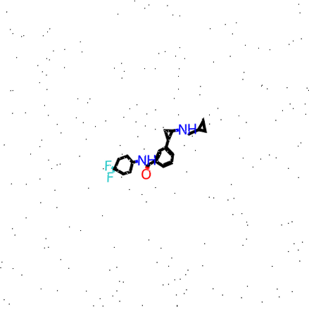 O=C(NC1CCC(F)(F)CC1)c1cccc(C2CC2NCC2CC2)c1